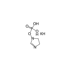 O=P(O)(O)ON1C=NCC1.[KH]